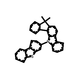 CC1(C)c2ccccc2-c2c1ccc1c3ccccc3n(-c3ccc4c(c3)sc3ccccc34)c21